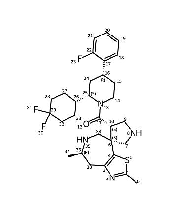 Cc1nc2c(s1)[C@@]1(CNC[C@H]1C(=O)N1CC[C@@H](c3ccccc3F)C[C@H]1C1CCC(F)(F)CC1)CN[C@H](C)C2